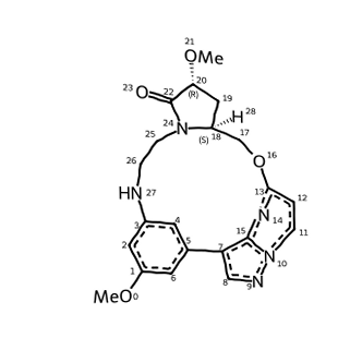 COc1cc2cc(c1)-c1cnn3ccc(nc13)OC[C@@H]1C[C@@H](OC)C(=O)N1CCN2